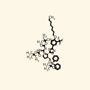 CCCCCCCCOc1ccc(-c2noc([C@@H]3[C@@H](CO[Si](c4ccccc4)(c4ccccc4)C(C)(C)C)CCN3/C(=N/C(=O)OC(C)(C)C)NC(=O)OC(C)(C)C)n2)cc1C(F)(F)F